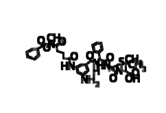 CN(OC(=O)c1ccccc1)C(=O)CCCC(=O)Nc1cc(N)cc(C(=O)NC(C(=O)N[C@@H]2C(=O)N3C2SC(C)(C)C3C(=O)O)c2ccccc2)c1